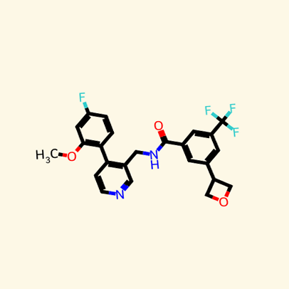 COc1cc(F)ccc1-c1ccncc1CNC(=O)c1cc(C2COC2)cc(C(F)(F)F)c1